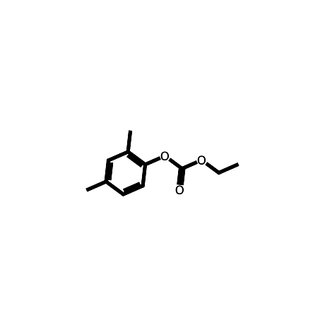 CCOC(=O)Oc1ccc(C)cc1C